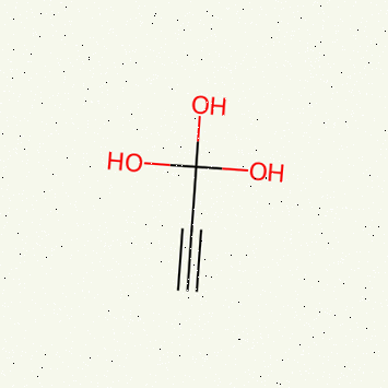 C#CC(O)(O)O